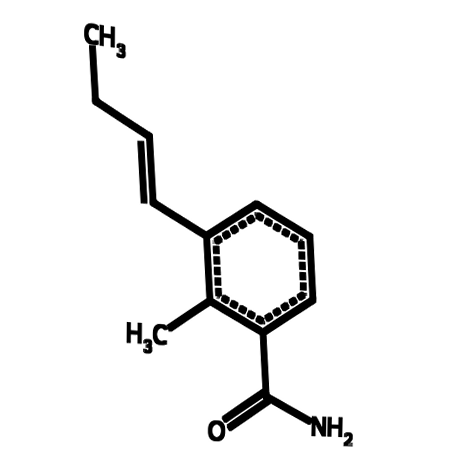 CCC=Cc1cccc(C(N)=O)c1C